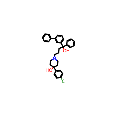 OC1(c2ccc(Cl)cc2)CCN(CCCC(O)(c2ccccc2)c2cccc(-c3ccccc3)c2)CC1